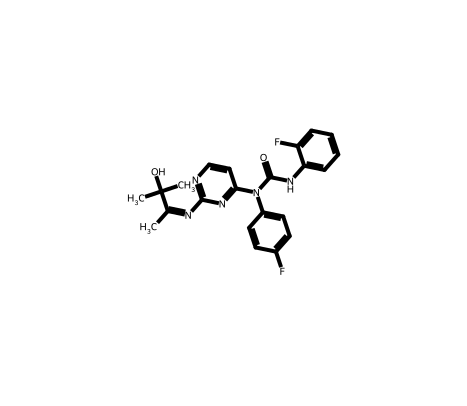 CC(=Nc1nccc(N(C(=O)Nc2ccccc2F)c2ccc(F)cc2)n1)C(C)(C)O